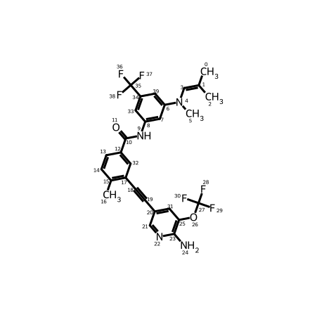 CC(C)=CN(C)c1cc(NC(=O)c2ccc(C)c(C#Cc3cnc(N)c(OC(F)(F)F)c3)c2)cc(C(F)(F)F)c1